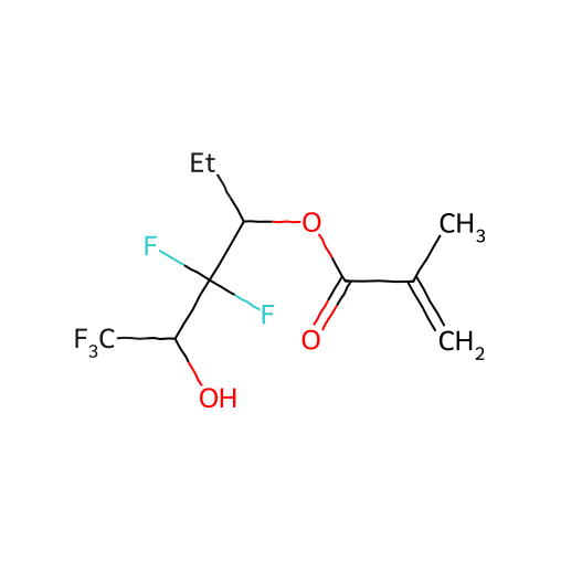 C=C(C)C(=O)OC(CC)C(F)(F)C(O)C(F)(F)F